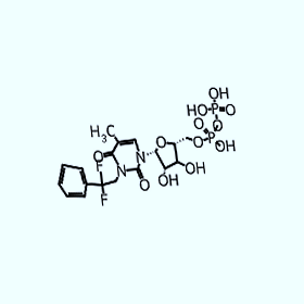 Cc1cn([C@@H]2O[C@H](COP(=O)(O)OP(=O)(O)O)C(O)[C@@H]2O)c(=O)n(CC(F)(F)c2ccccc2)c1=O